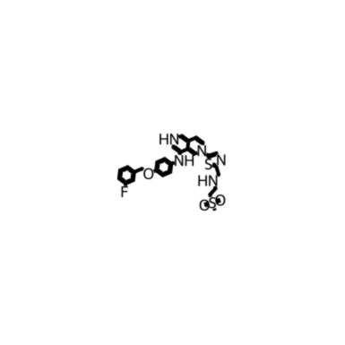 CS(=O)(=O)CCNCc1ncc(N2C=CC3=CNC=C(Nc4ccc(OCc5cccc(F)c5)cc4)C3=C2)s1